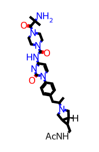 CC(=O)NCC1C2CN(C(C)Cc3ccc(-n4ccc(NC(=O)N5CCN(C(=O)C(C)(C)N)CC5)nc4=O)cc3)C[C@H]12